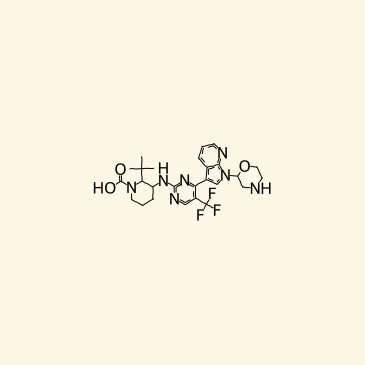 CC(C)(C)C1C(Nc2ncc(C(F)(F)F)c(-c3cn(C4CNCCO4)c4ncccc34)n2)CCCN1C(=O)O